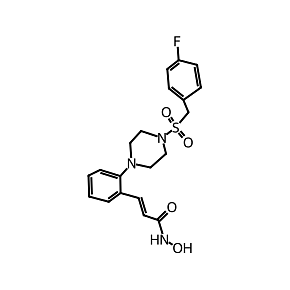 O=C(/C=C/c1ccccc1N1CCN(S(=O)(=O)Cc2ccc(F)cc2)CC1)NO